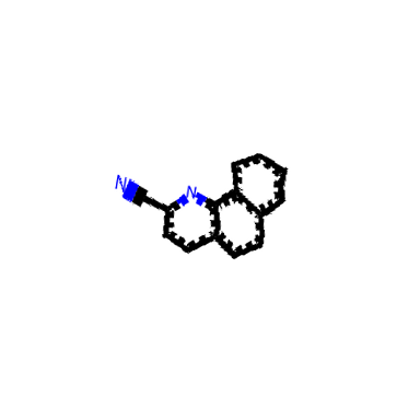 N#Cc1ccc2ccc3ccccc3c2n1